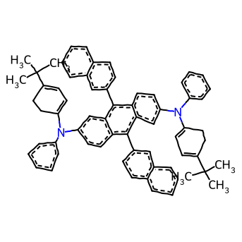 CC(C)(C)C1=CC=C(N(c2ccccc2)c2ccc3c(-c4ccc5ccccc5c4)c4cc(N(C5=CC=C(C(C)(C)C)CC5)c5ccccc5)ccc4c(-c4ccc5ccccc5c4)c3c2)CC1